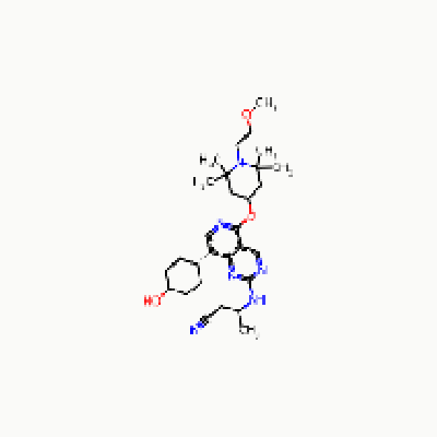 COCCN1C(C)(C)CC(Oc2ncc([C@H]3CC[C@H](O)CC3)c3nc(N[C@@H](C)CC#N)ncc23)CC1(C)C